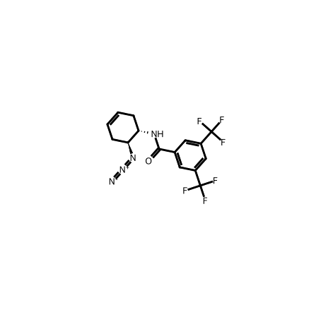 [N-]=[N+]=N[C@H]1CC=CC[C@@H]1NC(=O)c1cc(C(F)(F)F)cc(C(F)(F)F)c1